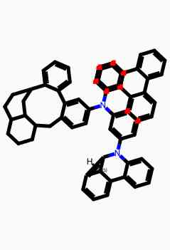 C1=CC2=C3[C@H]2C(=C1)c1ccccc1N3c1cccc(N(c2ccc3c(c2)-c2ccccc2C2CCC4CCCC(C3)C4C2)c2ccccc2-c2ccccc2-c2ccccc2-c2ccccc2)c1